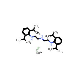 CC(C)c1cccc(C(C)C)c1NCCNCCNc1c(C(C)C)cccc1C(C)C.[Cl-].[Cl-].[Ru+2]